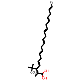 CCC=CCC=CCC=CCC=CCC=CCC=CC(C(C)C(O)O)C(C)(C)C(=O)O